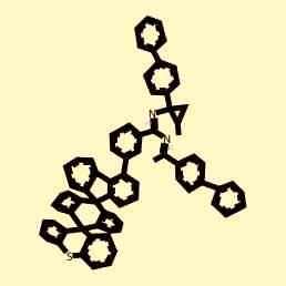 C/C(=N\C(=N/C1(c2ccc(-c3ccccc3)cc2)CC1C)c1cccc(-c2cccc3c2-c2ccccc2C32c3ccccc3C3(c4ccccc4Sc4ccccc43)c3ccccc32)c1)c1ccc(-c2ccccc2)cc1